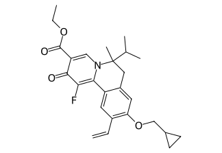 C=Cc1cc2c(cc1OCC1CC1)CC(C)(C(C)C)n1cc(C(=O)OCC)c(=O)c(F)c1-2